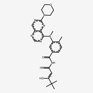 Cc1ccc(C(=O)NC(=N)/C=C(\O)C(C)(C)C)cc1N(C)c1ncnc2cnc(N3CCOCC3)nc12